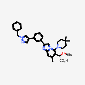 Cc1cc2nc(-c3cccc(-c4cnn(Cc5ccccc5)c4)c3)cn2c(N2CCC(C)(C)CC2)c1[C@H](OC(C)(C)C)C(=O)O